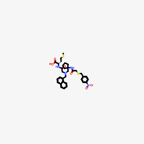 CSCC[C@H](NC(=O)CN(Cc1cccc2ccccc12)CC1(NC(=O)CSCc2ccc([N+](=O)[O-])cc2)CCCC1)C(=O)O